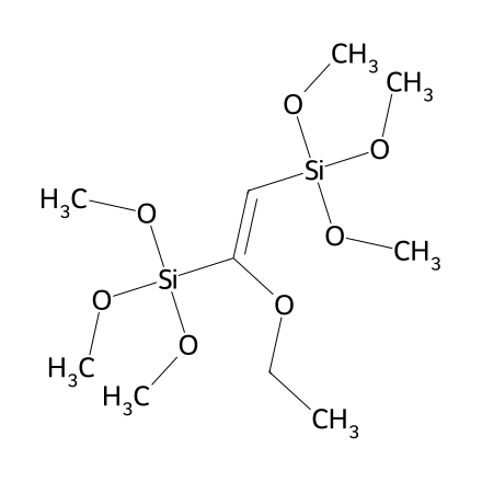 CCOC(=C[Si](OC)(OC)OC)[Si](OC)(OC)OC